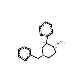 N[C@@H]1CCN(Cc2ccccc2)C[C@H]1c1ccccc1